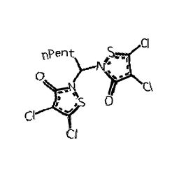 CCCCCC(n1sc(Cl)c(Cl)c1=O)n1sc(Cl)c(Cl)c1=O